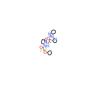 Cc1cccnc1-n1c(OCc2cccc(NC(=O)C(F)(F)Oc3ccccc3)n2)nc2ccccc21